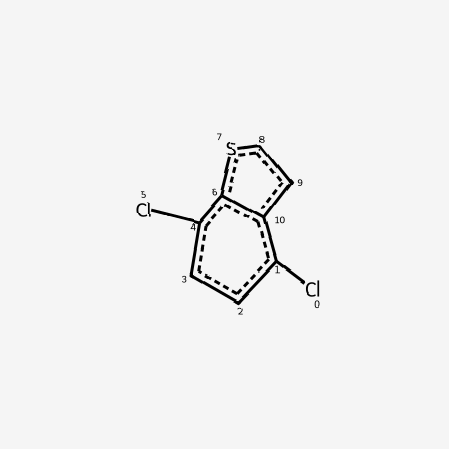 Clc1ccc(Cl)c2s[c]cc12